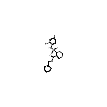 O=C(OCc1ccccc1)C1=CCCCC1S(=O)(=O)Nc1ccc(F)cc1F